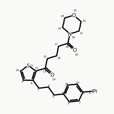 CC(C)c1ccc(CCCc2ccsc2C(=O)CCCC(=O)N2CCOCC2)cc1